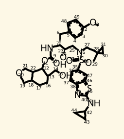 COc1ccc(C[C@H](NC(=O)OC2C(CO)CCC3COCC32)[C@H](O)CN(CC2(C)CC2)S(=O)(=O)c2ccc3nc(NC4CC4)sc3c2)cc1